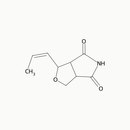 C/C=C\C1OCC2C(=O)NC(=O)C12